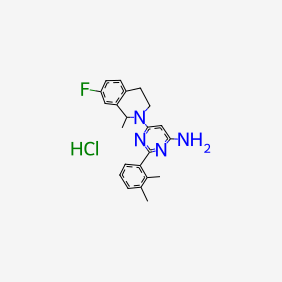 Cc1cccc(-c2nc(N)cc(N3CCc4ccc(F)cc4C3C)n2)c1C.Cl